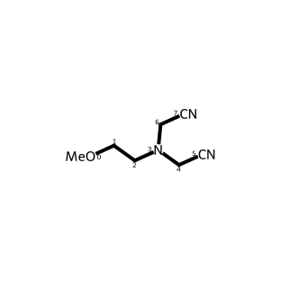 COCCN(CC#N)CC#N